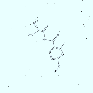 O=Cc1ccccc1NC(=O)c1ccc(OC(F)(F)F)cc1F